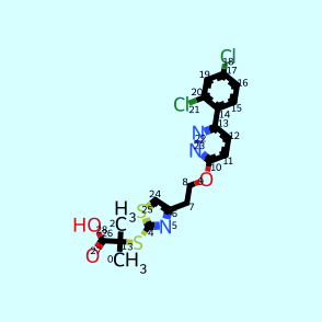 CC(C)(Sc1nc(CCOc2ccc(-c3ccc(Cl)cc3Cl)nn2)cs1)C(=O)O